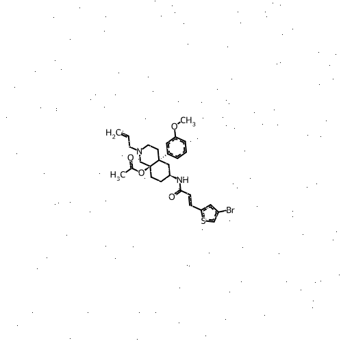 C=CCN1CC[C@@]2(c3cccc(OC)c3)C[C@@H](NC(=O)C=Cc3cc(Br)cs3)CC[C@]2(OC(C)=O)C1